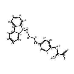 C=C(C)C(=O)Oc1ccc(OCCOC2c3ccccc3-c3ccccc32)cc1